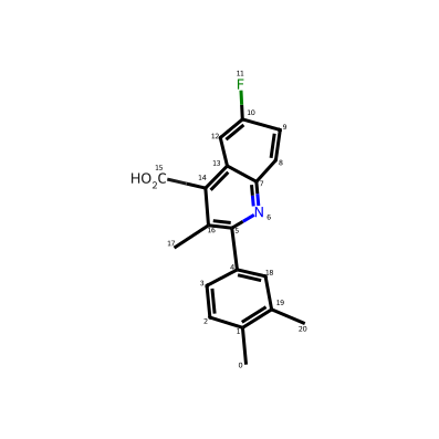 Cc1ccc(-c2nc3ccc(F)cc3c(C(=O)O)c2C)cc1C